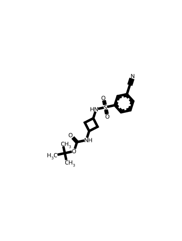 CC(C)(C)OC(=O)NC1CC(NS(=O)(=O)c2cccc(C#N)c2)C1